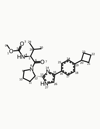 COC(=O)N[C@H](C(=O)N1CCC[C@H]1c1nc(-c2ccc(C3CCC3)cc2)c[nH]1)C(C)C